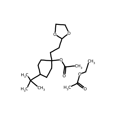 CC(=O)OC1(CCC2OCCO2)CCC(C(C)(C)C)CC1.CCOC(C)=O